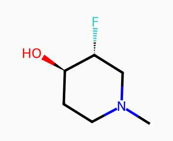 CN1CC[C@@H](O)[C@H](F)C1